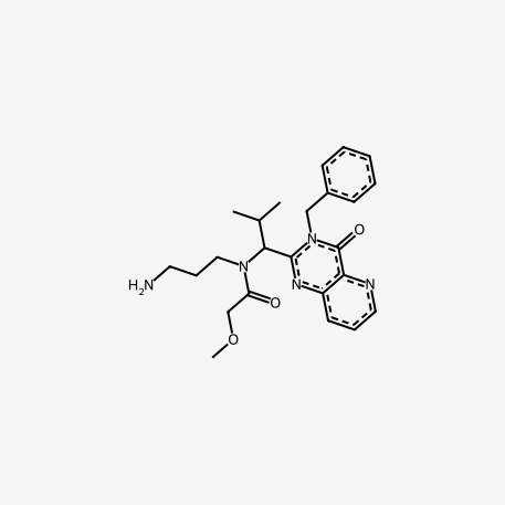 COCC(=O)N(CCCN)C(c1nc2cccnc2c(=O)n1Cc1ccccc1)C(C)C